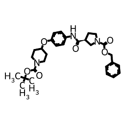 CC(C)(C)OC(=O)N1CCC(Oc2ccc(NC(=O)[C@H]3CCN(C(=O)OCc4ccccc4)C3)cc2)CC1